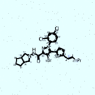 CCC/C=C/c1ccc(-c2c(Br)c(C(=O)NN3CC4CCCC4C3)nn2-c2ccc(Cl)cc2Cl)[se]1